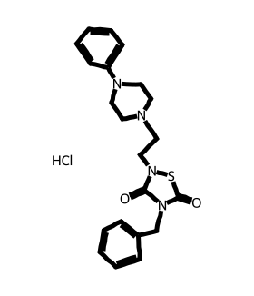 Cl.O=c1sn(CCN2CCN(c3ccccc3)CC2)c(=O)n1Cc1ccccc1